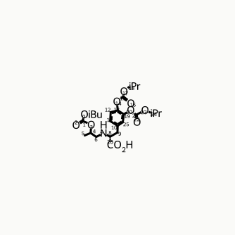 CC(C)COC(=O)OC(C)CN[C@@H](Cc1ccc(OC(=O)OC(C)C)c(OC(=O)OC(C)C)c1)C(=O)O